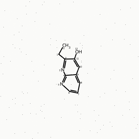 CCc1nc2ncccc2cc1O